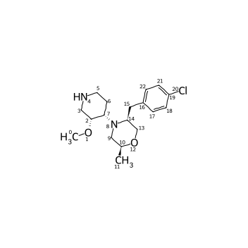 CO[C@@H]1CNCC[C@@H]1N1C[C@H](C)OC[C@@H]1Cc1ccc(Cl)cc1